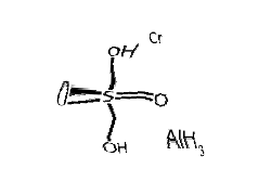 O=S(=O)(O)O.[AlH3].[Cr]